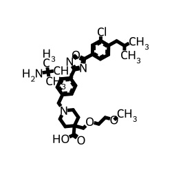 CC(C)(C)N.COCCOCC1(C(=O)O)CCN(Cc2ccc(-c3noc(-c4ccc(CC(C)C)c(Cl)c4)n3)cc2)CC1